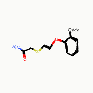 COc1ccccc1OCCSCC(N)=O